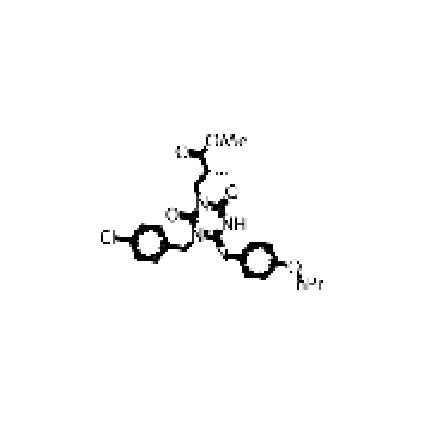 CCCOc1ccc(/N=c2\[nH]c(=O)n(C[C@@H](C)C(=O)OC)c(=O)n2Cc2ccc(Cl)cc2)cc1